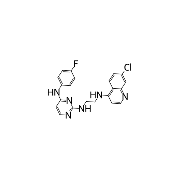 Fc1ccc(Nc2ccnc(NCCNc3ccnc4cc(Cl)ccc34)n2)cc1